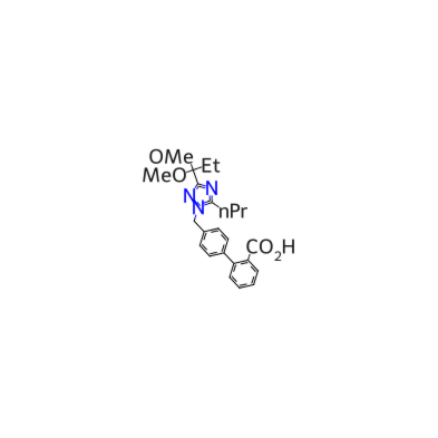 CCCc1nc(C(CC)(OC)OC)nn1Cc1ccc(-c2ccccc2C(=O)O)cc1